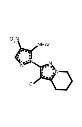 CC(=O)Nc1c([N+](=O)[O-])cnn1-c1nn2c(c1Cl)CCCC2